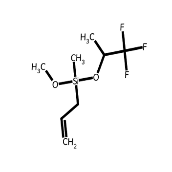 C=CC[Si](C)(OC)OC(C)C(F)(F)F